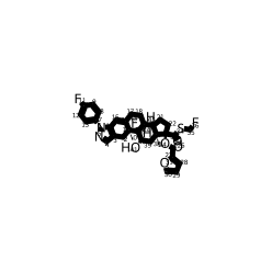 C[C@]12Cc3cnn(-c4ccc(F)cc4)c3C=C1CC[C@H]1[C@@H]3CC[C@](OC(=O)c4ccco4)(C(=O)SCF)[C@@]3(C)C[C@H](O)[C@@]12F